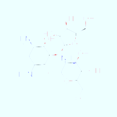 NC1C[C@@H](N)[C@@H](O)[C@@H](O[C@@H]2O[C@H](CO)[C@H](O)C2O)[C@@H]1O[C@H]1OC(CO)[C@@H](O)[C@H](O)[C@@H]1N